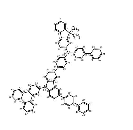 CC1(C)c2ccccc2-c2ccc(N(c3ccc(-c4ccccc4)cc3)c3ccc(-c4ccc5c(c4)c4cc(-c6ccc(-c7ccccc7)cc6)ccc4n5-c4ccc5c6ccccc6c6ccccc6c5c4)cc3)cc21